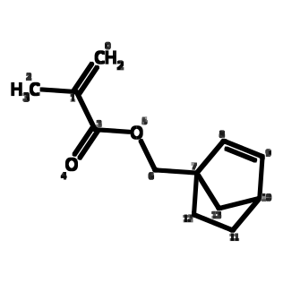 C=C(C)C(=O)OCC12C=CC(CC1)C2